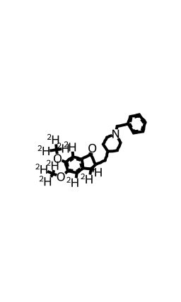 [2H]c1c(OC([2H])([2H])[2H])c(OC([2H])([2H])[2H])c([2H])c2c1C(=O)C(CC1CCN(Cc3ccccc3)CC1)C2([2H])[2H]